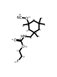 CC1(C)CC(C)(CNC(=O)OCCF)CC(C)(OC#N)C1